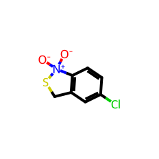 [O-][N+]1([O-])SCc2cc(Cl)ccc21